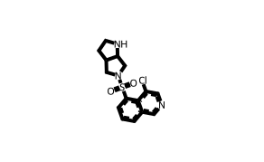 O=S(=O)(c1cccc2cncc(Cl)c12)N1CC2CCNC2C1